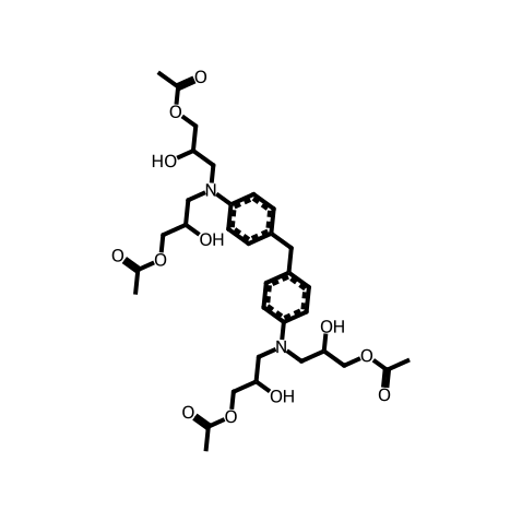 CC(=O)OCC(O)CN(CC(O)COC(C)=O)c1ccc(Cc2ccc(N(CC(O)COC(C)=O)CC(O)COC(C)=O)cc2)cc1